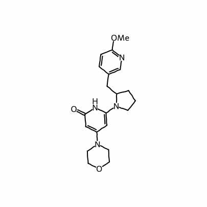 COc1ccc(CC2CCCN2c2cc(N3CCOCC3)cc(=O)[nH]2)cn1